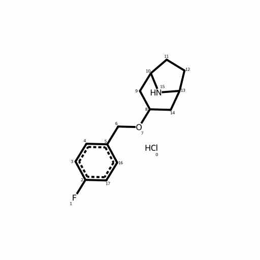 Cl.Fc1ccc(COC2CC3CCC(C2)N3)cc1